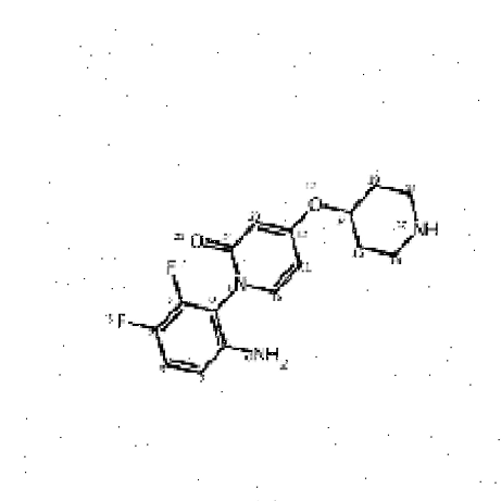 Nc1ccc(F)c(F)c1-n1ccc(OC2CCNCC2)cc1=O